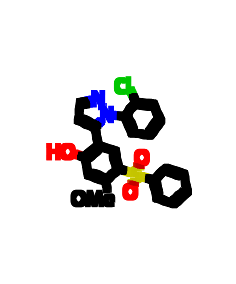 COc1cc(O)c(-c2ccnn2-c2ccccc2Cl)cc1S(=O)(=O)c1ccccc1